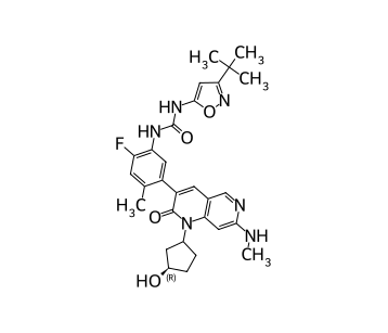 CNc1cc2c(cn1)cc(-c1cc(NC(=O)Nc3cc(C(C)(C)C)no3)c(F)cc1C)c(=O)n2C1CC[C@@H](O)C1